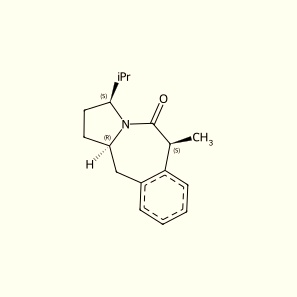 CC(C)[C@@H]1CC[C@@H]2Cc3ccccc3[C@H](C)C(=O)N21